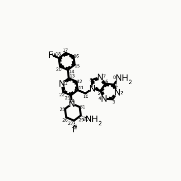 Nc1ncnc2c1ncn2Cc1cc(-c2cccc(F)c2)ncc1N1CC[C@@H](F)[C@@H](N)C1